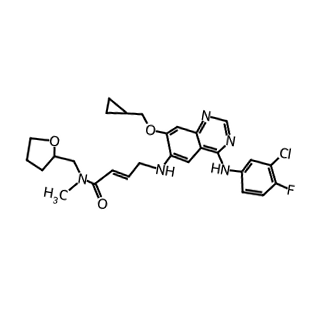 CN(CC1CCCO1)C(=O)C=CCNc1cc2c(Nc3ccc(F)c(Cl)c3)ncnc2cc1OCC1CC1